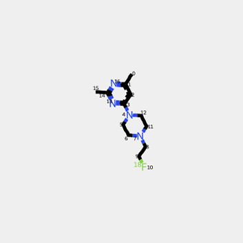 Cc1cc(N2CCN(CC[18F])CC2)nc(C)n1